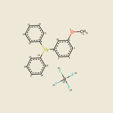 COc1cccc([S+](c2ccccc2)c2ccccc2)c1.F[B-](F)(F)F